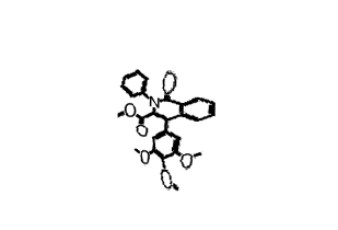 COC(=O)c1c(-c2cc(OC)c(OC)c(OC)c2)c2ccccc2c(=O)n1-c1ccccc1